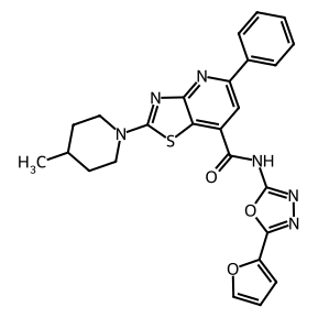 CC1CCN(c2nc3nc(-c4ccccc4)cc(C(=O)Nc4nnc(-c5ccco5)o4)c3s2)CC1